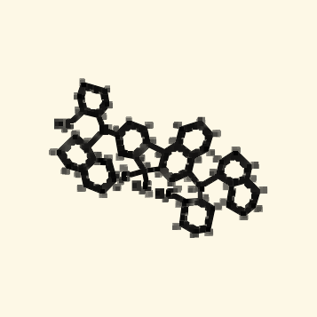 Cc1ccccc1N(c1ccc2c(c1)C(C)(C)c1cc(N(c3ccccc3C)c3cccc4ccccc34)c3ccccc3c1-2)c1cccc2ccccc12